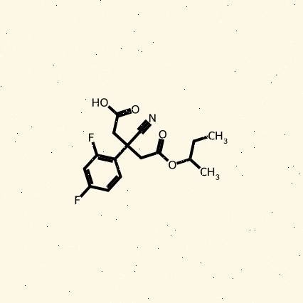 CCC(C)OC(=O)CC(C#N)(CC(=O)O)c1ccc(F)cc1F